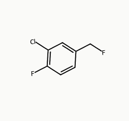 FCc1ccc(F)c(Cl)c1